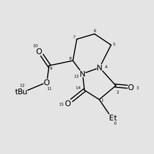 CCC1C(=O)N2CCCC(C(=O)OC(C)(C)C)N2C1=O